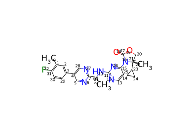 Cc1cc(-c2cnc([C@H](C)Nc3nccc(N4C(=O)OC[C@]4(C)C4CC4)n3)nc2)ccc1F